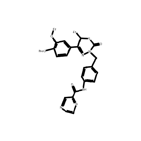 CCOc1cc(C2=NN(Cc3ccc(NC(=O)c4cnccn4)cc3)C(=O)SC2CC)ccc1OC